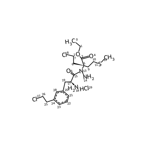 CCOC(=O)[C@](CCCl)(CCSC)N(N)C(=O)[C@@H](N)Cc1cccc(CCCl)c1.Cl